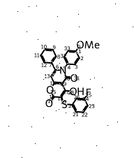 COc1ccc(-n2c(-c3ccccc3)cc3oc(=O)c(Sc4cccc(F)c4)c(O)c3c2=O)cc1